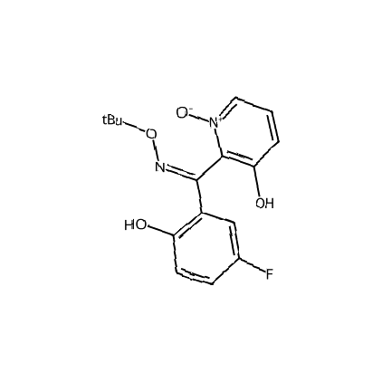 CC(C)(C)ON=C(c1cc(F)ccc1O)c1c(O)ccc[n+]1[O-]